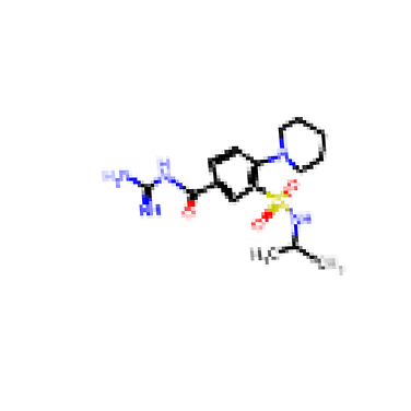 CC(C)NS(=O)(=O)c1cc(C(=O)NC(=N)N)ccc1N1CCCCC1